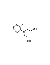 OCCN(CCO)c1ncccc1F